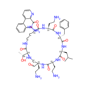 CC(C)C[C@@H]1NC(=O)[C@@H](Cc2ccccc2)NC(=O)[C@H](CCN)NC(=O)[C@@H](NC(=O)c2ncccc2-c2ccccc2CN)CCNC(=O)[C@H]([C@@H](C)O)NC[C@](C=O)(CCN)NC(=O)[C@H](CCN)NC1=O